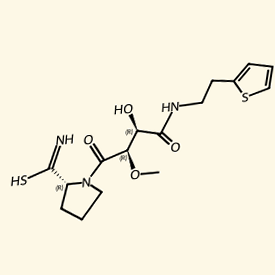 CO[C@@H](C(=O)N1CCC[C@@H]1C(=N)S)[C@@H](O)C(=O)NCCc1cccs1